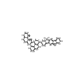 CC1(C)c2cc(-c3ccc(-c4ccc5ccc6cccnc6c5n4)c4c3ccc3ccccc34)ccc2-c2cc3oc4ccccc4c3cc21